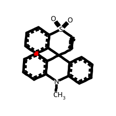 CN1c2ccccc2C2(c3ccccc31)c1ccccc1S(=O)(=O)c1ccccc12